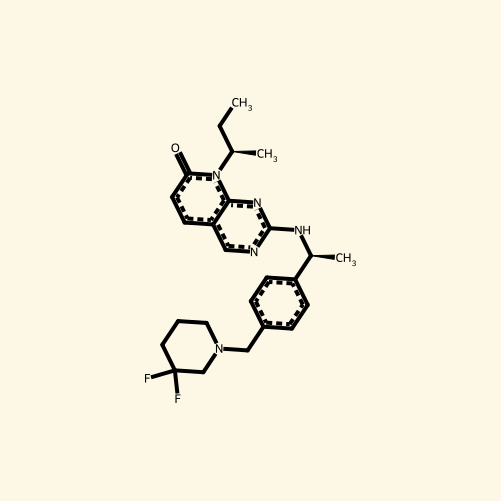 CC[C@@H](C)n1c(=O)ccc2cnc(N[C@@H](C)c3ccc(CN4CCCC(F)(F)C4)cc3)nc21